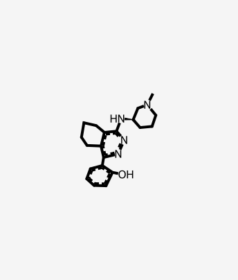 CN1CCC[C@@H](Nc2nnc(-c3ccccc3O)c3c2CCCC3)C1